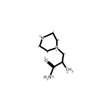 CC(CN1CC[N]CC1)C(N)=O